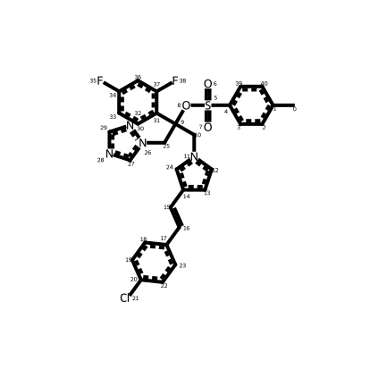 Cc1ccc(S(=O)(=O)OC(Cn2ccc(C=Cc3ccc(Cl)cc3)c2)(Cn2cncn2)c2ccc(F)cc2F)cc1